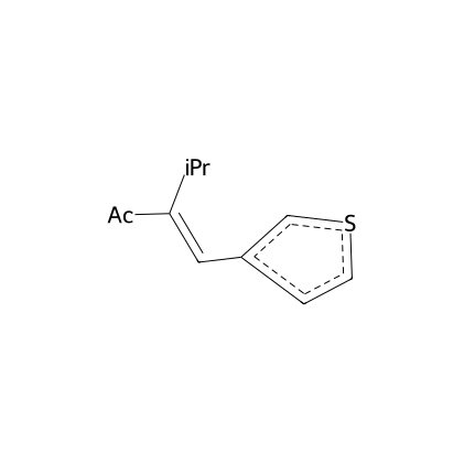 CC(=O)/C(=C/c1ccsc1)C(C)C